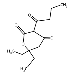 CCCC(=O)C1C(=O)CC(CC)(CC)OC1=O